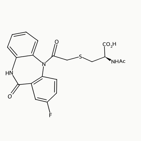 CC(=O)N[C@@H](CSCC(=O)N1c2ccccc2NC(=O)c2cc(F)ccc21)C(=O)O